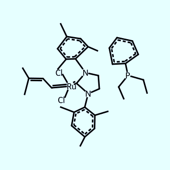 CC(C)=C[CH]=[Ru]([Cl])([Cl])=[C]1N(c2c(C)cc(C)cc2C)CCN1c1c(C)cc(C)cc1C.CCP(CC)c1ccccc1